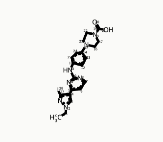 CCn1cc(-c2ccnc(Nc3ccc(N4CCN(C(=O)O)CC4)cc3)n2)c(I)n1